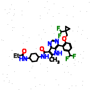 CCC(=O)NC1CCC(NC(=O)c2c(C)[nH]c3c(-c4cc(C(F)F)ccc4OCC4(C(F)F)CC4)ncnc23)CC1